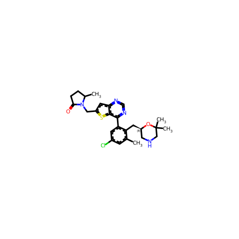 Cc1cc(Cl)cc(-c2ncnc3cc(CN4C(=O)CCC4C)sc23)c1C[C@@H]1CNCC(C)(C)O1